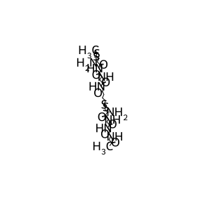 CSSC[C@H](N)C(=O)NCC(=O)NCC(=O)NCC(=O)CCCSSC[C@@H](N)C(=O)NCC(=O)NCC(=O)NCC(C)=O